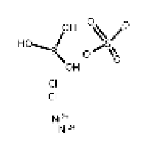 O=S(=O)([O-])[O-].OB(O)O.[Cl-].[Cl-].[Ni+2].[Ni+2]